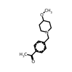 COC1CCN(Cc2ccc(C(C)=O)cc2)CC1